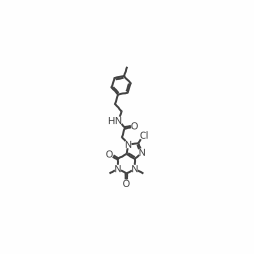 Cc1ccc(CCNC(=O)Cn2c(Cl)nc3c2c(=O)n(C)c(=O)n3C)cc1